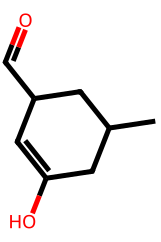 CC1CC(O)=CC(C=O)C1